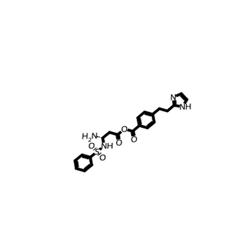 N[C@H](CC(=O)OC(=O)c1ccc(CCc2ncc[nH]2)cc1)NS(=O)(=O)c1ccccc1